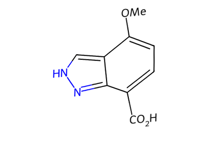 COc1ccc(C(=O)O)c2n[nH]cc12